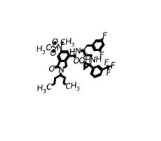 CCCC(CCC)N1Cc2c(C(=O)N[C@@H](Cc3cc(F)cc(F)c3)[C@@H](O)CNC3(c4cccc(C(F)(F)F)c4)CC3)cc(N(C)S(C)(=O)=O)cc2C1=O